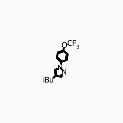 CCC(C)c1cnn(-c2ccc(OC(F)(F)F)cc2)c1